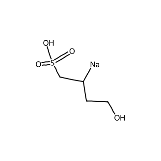 O=S(=O)(O)C[CH]([Na])CCO